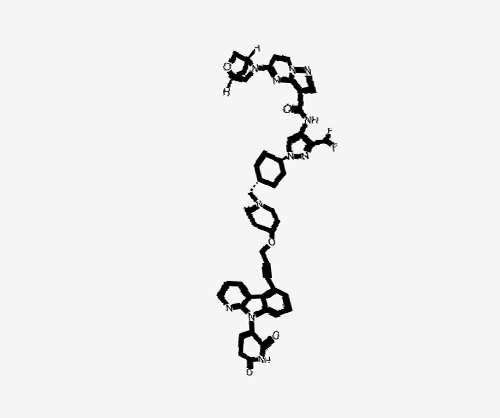 O=C1CCC(n2c3cccc(C#CCOC4CCN(C[C@H]5CC[C@H](n6cc(NC(=O)c7cnn8ccc(N9C[C@H]%10C[C@@H]9CO%10)nc78)c(C(F)F)n6)CC5)CC4)c3c3cccnc32)C(=O)N1